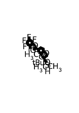 Cc1c(C(=O)Oc2c(F)c(F)c(F)c(F)c2F)ccc2c1OC([C@@H](O[SiH](C)C)C(C)(C)C)CO2